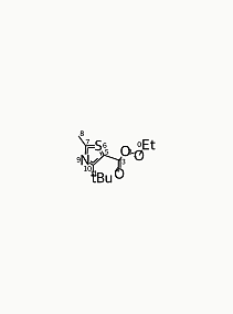 CCOOC(=O)c1sc(C)nc1C(C)(C)C